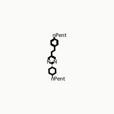 CCCCCc1ccc(CCc2cnc([C@H]3CC[C@H](CCCCC)CC3)nc2)cc1